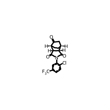 O=C1C[C@H]2CC[C@@H]1[C@H]1C(=O)N(c3cc(C(F)(F)F)ccc3Cl)C(=O)[C@@H]21